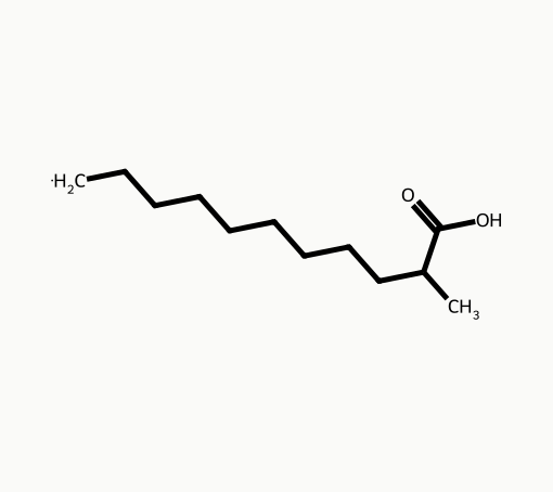 [CH2]CCCCCCCCC(C)C(=O)O